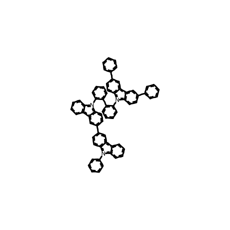 c1ccc(-c2ccc3c(c2)c2cc(-c4ccccc4)ccc2n3-c2ccccc2-c2ccccc2-n2c3ccccc3c3cc(-c4ccc5c(c4)c4ccccc4n5-c4ccccc4)ccc32)cc1